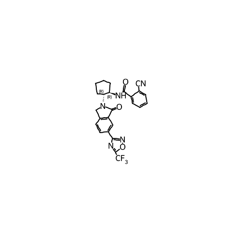 N#Cc1ccccc1C(=O)N[C@@H]1CCCC[C@H]1N1Cc2ccc(-c3noc(C(F)(F)F)n3)cc2C1=O